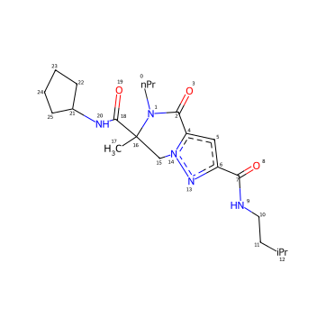 CCCN1C(=O)c2cc(C(=O)NCCC(C)C)nn2CC1(C)C(=O)NC1CCCC1